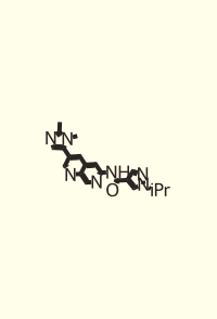 Cc1ncc(-c2cnc3cnc(NC(=O)c4cnn(C(C)C)c4)cc3c2)n1C